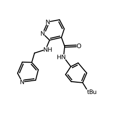 CC(C)(C)c1ccc(NC(=O)c2ccnnc2NCc2ccncc2)cc1